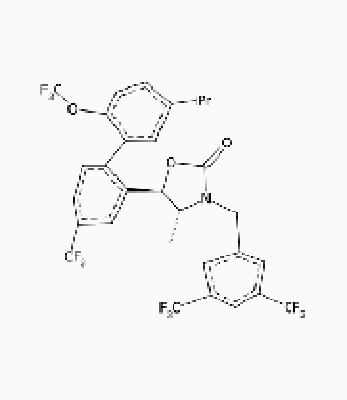 CC(C)c1ccc(OC(F)(F)F)c(-c2ccc(C(F)(F)F)cc2[C@H]2OC(=O)N(Cc3cc(C(F)(F)F)cc(C(F)(F)F)c3)[C@@H]2C)c1